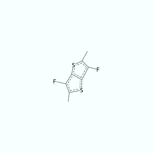 Cc1sc2c(F)c(C)sc2c1F